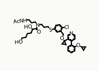 CC(=O)NCCCN(CCCSc1ccc(Cl)c(COC2(c3cnccc3-c3ccccc3OC3CC3)CC2)c1)C(=O)C(O)CCCCO